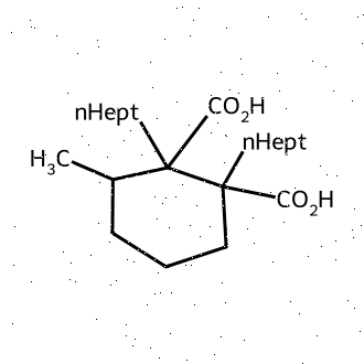 CCCCCCCC1(C(=O)O)CCCC(C)C1(CCCCCCC)C(=O)O